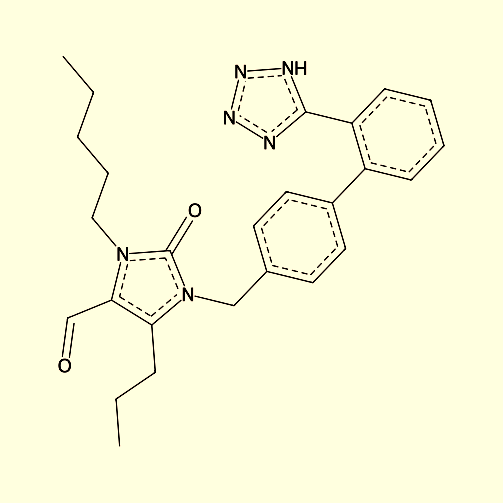 CCCCCn1c(C=O)c(CCC)n(Cc2ccc(-c3ccccc3-c3nnn[nH]3)cc2)c1=O